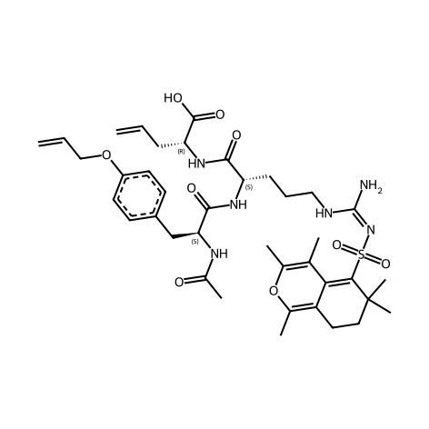 C=CCOc1ccc(C[C@H](NC(C)=O)C(=O)N[C@@H](CCCNC(N)=NS(=O)(=O)C2=C3C(C)=C(C)OC(C)=C3CCC2(C)C)C(=O)N[C@H](CC=C)C(=O)O)cc1